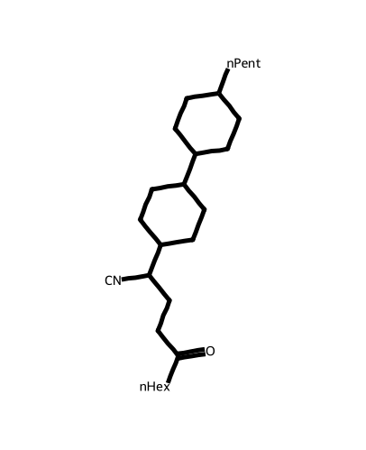 [C-]#[N+]C(CCC(=O)CCCCCC)C1CCC(C2CCC(CCCCC)CC2)CC1